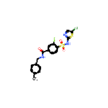 O=C(NCc1ccc(C(F)(F)F)cc1)c1ccc(S(=O)(=O)Nc2ncc(Cl)s2)c(F)c1